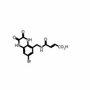 O=C(O)C=CC(=O)NCc1cc(Br)cc2[nH]c(=O)c(=O)[nH]c12